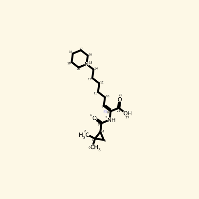 CC1(C)CC1C(=O)N/C(=C/CCCCCN1CCCCC1)C(=O)O